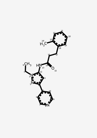 CCn1nc(-c2ccncc2)cc1NC(=O)CCc1ccccc1C